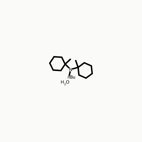 CCCCN(C1(C)CCCCC1)C1(C)CCCCC1.O